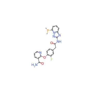 CP(C)c1cccc2nc(NC(=O)Cc3ccc(Oc4ncccc4C(N)=O)c(F)c3)nn12